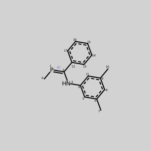 C/P=C(\Nc1cc(C)cc(C)c1)c1ccccc1